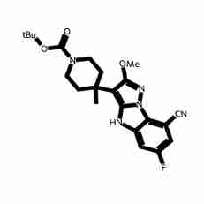 COc1nn2c([nH]c3cc(F)cc(C#N)c32)c1C1(C)CCN(C(=O)OC(C)(C)C)CC1